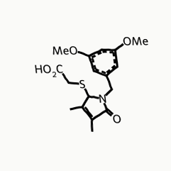 COc1cc(CN2C(=O)C(C)=C(C)C2SCC(=O)O)cc(OC)c1